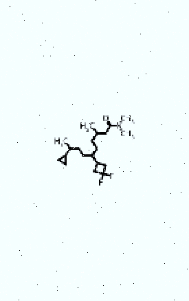 CC(CCC(CCC(C)C1CC1)C1CC(F)(F)C1)CC(=O)N(C)C